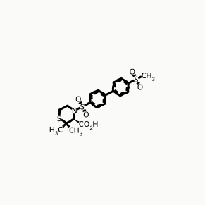 CC1(C)SCCN(S(=O)(=O)c2ccc(-c3ccc(S(C)(=O)=O)cc3)cc2)[C@H]1C(=O)O